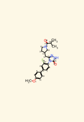 COc1ccc(-c2ccc(-n3c(CC4CCN(C(=O)C(C)C)C4)n[nH]c3=O)c(F)c2)cc1